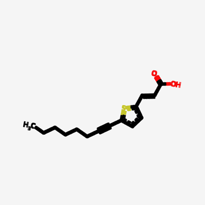 CCCCCCC#Cc1ccc(/C=C/C(=O)O)s1